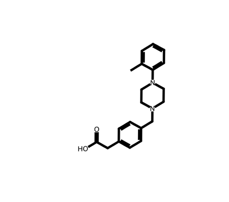 Cc1ccccc1N1CCN(Cc2ccc(CC(=O)O)cc2)CC1